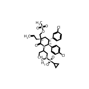 C=CC[C@@]1(COS(C)(=O)=O)C[C@H](c2cccc(Cl)c2)[C@@H](c2ccc(Cl)cc2)N(C(CC)CN(C)S(=O)(=O)C2CC2)C1=O